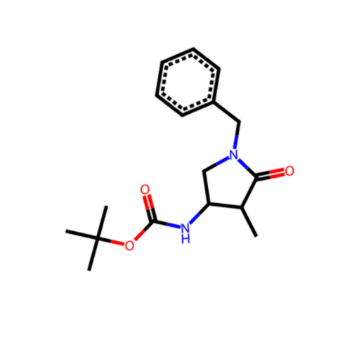 CC1C(=O)N(Cc2ccccc2)CC1NC(=O)OC(C)(C)C